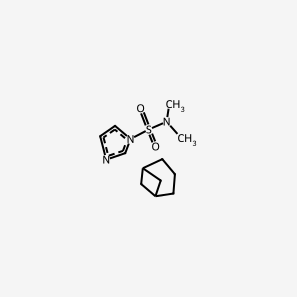 C1CC2CC(C1)C2.CN(C)S(=O)(=O)n1ccnc1